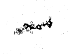 N#Cc1cccc(COc2ccc(Cc3cc(-c4ccc[n+](COP(=O)([O-])O)c4N)on3)cc2)n1